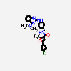 CN(C)c1nc(N[C@H]2CC[C@@H](CNC(=O)c3cc(-c4ccc(Cl)cc4)oc3C(F)(F)F)CC2)nc2ccccc12